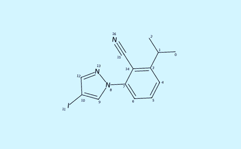 CC(C)c1cccc(-n2cc(I)cn2)c1C#N